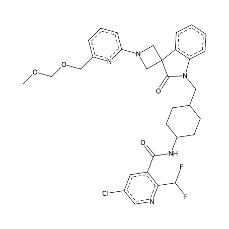 COCOCc1cccc(N2CC3(C2)C(=O)N(CC2CCC(NC(=O)c4cc(Cl)cnc4C(F)F)CC2)c2ccccc23)n1